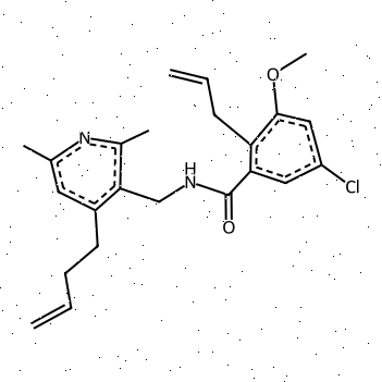 C=CCCc1cc(C)nc(C)c1CNC(=O)c1cc(Cl)cc(OC)c1CC=C